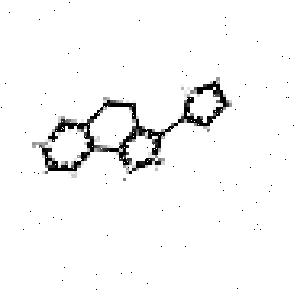 c1coc(-c2[nH]nc3c2CCc2cnccc2-3)c1